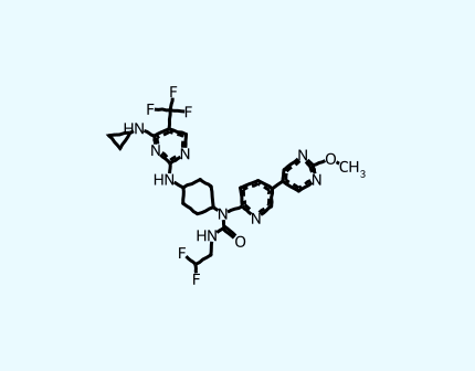 COc1ncc(-c2ccc(N(C(=O)NCC(F)F)C3CCC(Nc4ncc(C(F)(F)F)c(NC5CC5)n4)CC3)nc2)cn1